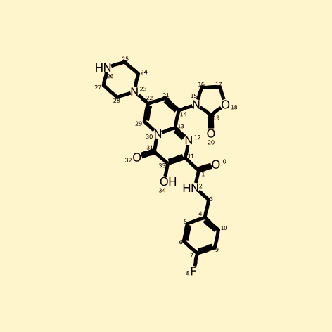 O=C(NCc1ccc(F)cc1)c1nc2c(N3CCOC3=O)cc(N3CCNCC3)cn2c(=O)c1O